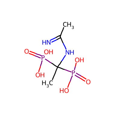 CC(=N)NC(C)(P(=O)(O)O)P(=O)(O)O